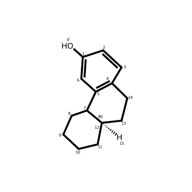 Oc1ccc2c(c1)C1CCCC[C@@H]1CC2